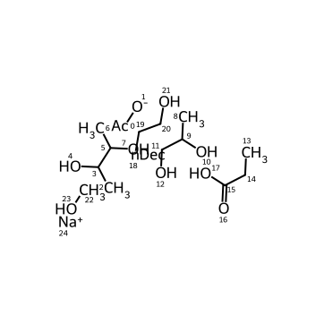 CC(=O)[O-].CC(O)C(C)O.CC(O)CO.CCC(=O)O.CCCCCCCCCCCCO.CO.[Na+]